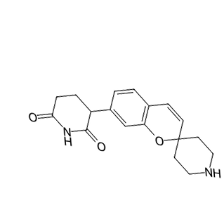 O=C1CCC(c2ccc3c(c2)OC2(C=C3)CCNCC2)C(=O)N1